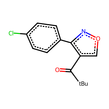 CC(C)(C)C(=O)c1conc1-c1ccc(Cl)cc1